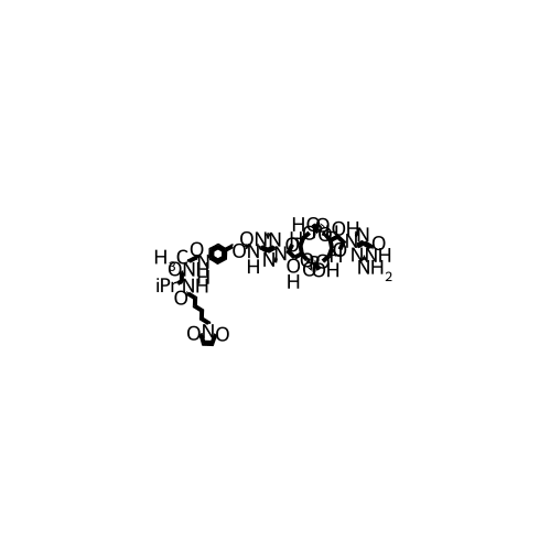 CC(C)C(NC(=O)CCCCCN1C(=O)C=CC1=O)C(=O)N[C@H](C)C(=O)Nc1ccc(COC(=O)Nc2ncnc3c2ncn3[C@@H]2O[C@@H]3COP(=O)(O)O[C@@H]4[C@H](O)[C@H](n5cnc6c(=O)[nH]c(N)nc65)O[C@@H]4COP(=O)(O)OC3C2O)cc1